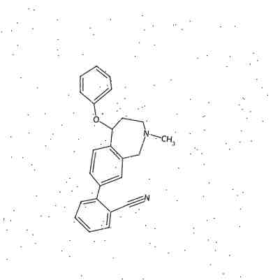 CN1CCC(Oc2ccccc2)c2ccc(-c3ccccc3C#N)cc2C1